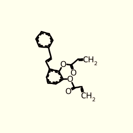 C=CC(=O)Oc1cccc(C=Cc2ccccc2)c1OC(=O)C=C